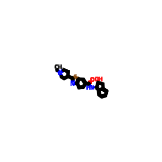 CCN1CCC(c2nc3ccc(C(=O)N[C@@H]4c5ccccc5C[C@@H]4O)cc3s2)CC1